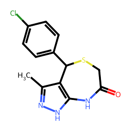 Cc1n[nH]c2c1C(c1ccc(Cl)cc1)SCC(=O)N2